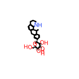 CC1c2ccc([C@@H]3O[C@H](CO)[C@@H](O)[C@H](O)[C@H]3O)cc2Cc2ccc3c(c21)NCCC3